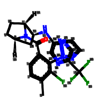 Cc1ccc(C(=O)N2[C@@H]3CC[C@H]2[C@H](Nc2cnc(C(F)(F)F)cn2)C3)c(-n2nccn2)c1F